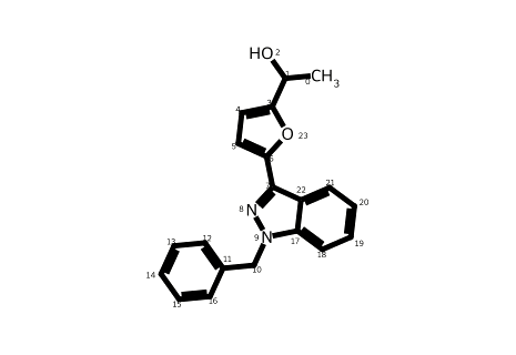 CC(O)c1ccc(-c2nn(Cc3ccccc3)c3ccccc23)o1